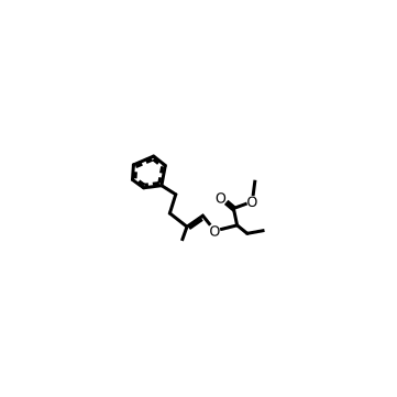 CCC(OC=C(C)CCc1ccccc1)C(=O)OC